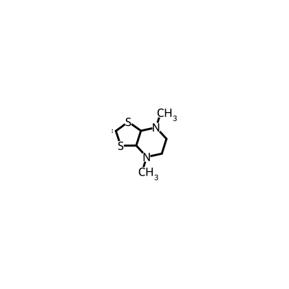 CN1CCN(C)C2S[C]SC21